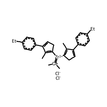 CCc1ccc(C2=CC[C]([Zr+2]([C]3=C(C)C(c4ccc(CC)cc4)=CC3)=[Ge]([CH3])[CH3])=C2C)cc1.[Cl-].[Cl-]